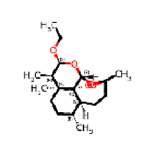 CCO[C@H]1O[C@@H]2OC3(C)CC[C@H]4[C@H](C)CC[C@@](C)([C@H]1C)[C@@]24OO3